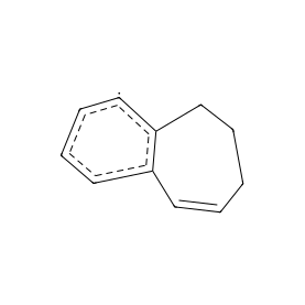 [c]1cccc2c1CCCC=C2